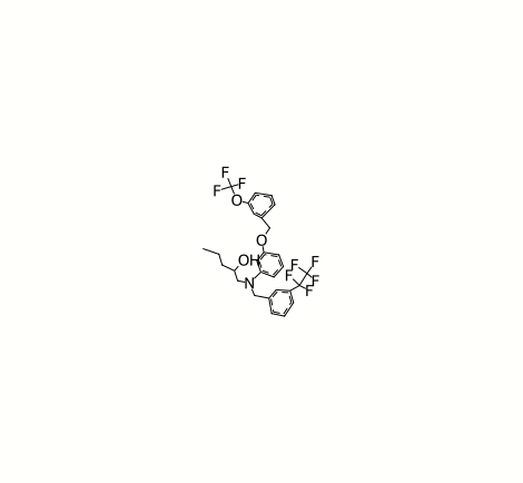 CCCC(O)CN(Cc1cccc(C(F)(F)C(F)(F)F)c1)c1cccc(OCc2cccc(OC(F)(F)F)c2)c1